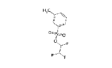 Cc1cccc(S(=O)(=O)OC(F)C(F)F)c1